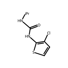 CC(C)NC(=O)Nc1sccc1Cl